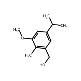 COc1cc(C(C)C)cc(CO)c1C